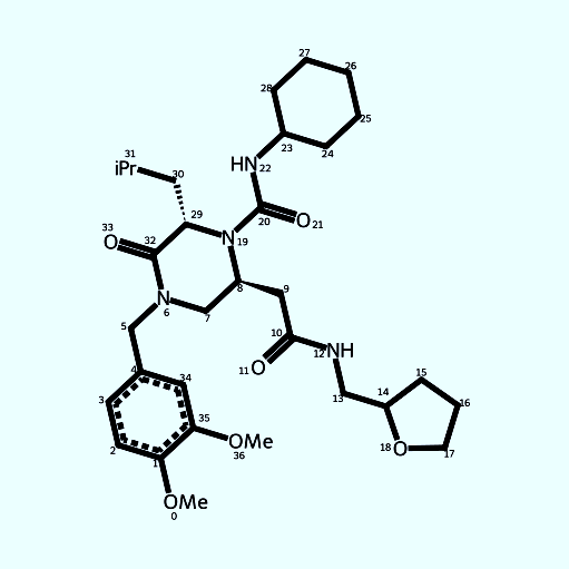 COc1ccc(CN2C[C@H](CC(=O)NCC3CCCO3)N(C(=O)NC3CCCCC3)[C@@H](CC(C)C)C2=O)cc1OC